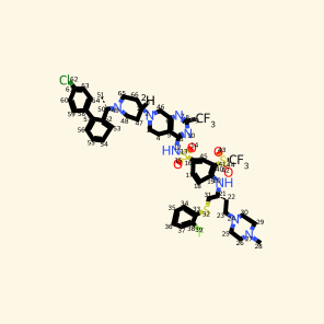 [2H]C1(N2CCc3c(nc(C(F)(F)F)nc3NS(=O)(=O)c3ccc(N[C@H](CCN4CCN(C)CC4)CSc4ccccc4F)c(S(=O)(=O)C(F)(F)F)c3)C2)CCN([C@@H](C)c2ccccc2-c2ccc(Cl)cc2)CC1